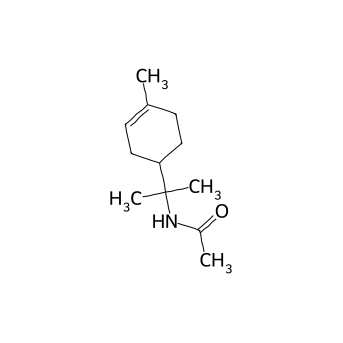 CC(=O)NC(C)(C)C1CC=C(C)CC1